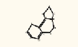 C1=CCC2=C3CCCC3CCC2=C1